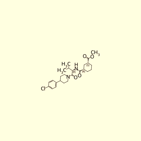 COC(=O)[C@H]1CCC[C@@H](C(=O)N[C@@H](C(=O)N2CCC(c3ccc(Cl)cc3)CC2)C(C)C)C1